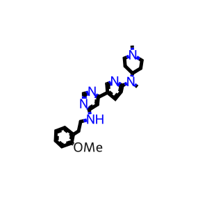 COc1ccccc1CCNc1cc(-c2ccc(N(C)C3CCN(C)CC3)nc2)ncn1